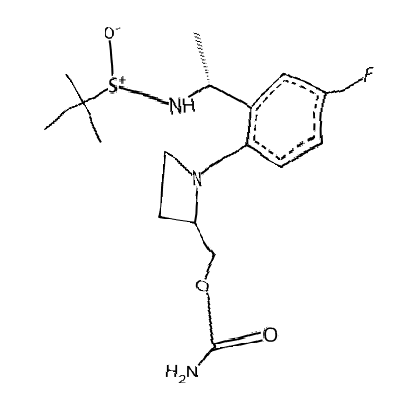 C[C@@H](N[S+]([O-])C(C)(C)C)c1cc(F)ccc1N1CCC1COC(N)=O